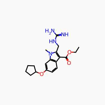 CCOC(=O)c1c(CNC(=N)N)n(C)c2cc(OC3CCCC3)ccc12